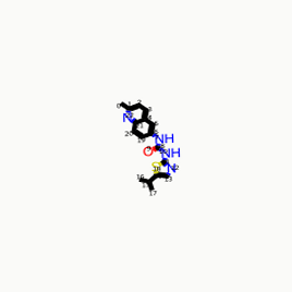 Cc1ccc2cc(NC(=O)Nc3ncc(C(C)C)s3)ccc2n1